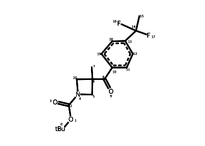 CC(C)(C)OC(=O)N1CC(C)(C(=O)c2ccc(C(C)(F)F)cc2)C1